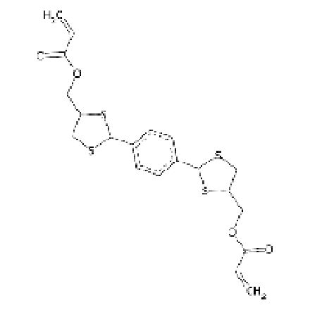 C=CC(=O)OCC1CSC(c2ccc(C3SCC(COC(=O)C=C)S3)cc2)S1